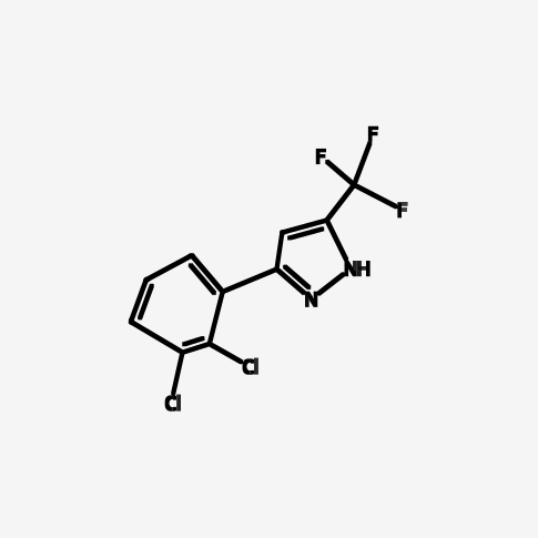 FC(F)(F)c1cc(-c2cccc(Cl)c2Cl)n[nH]1